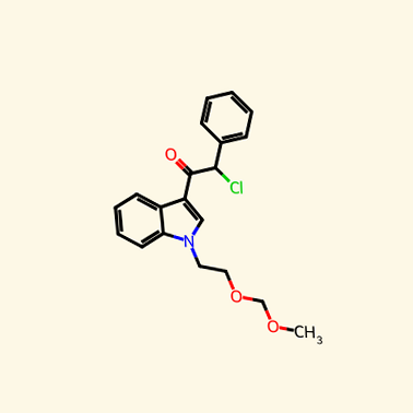 COCOCCn1cc(C(=O)C(Cl)c2ccccc2)c2ccccc21